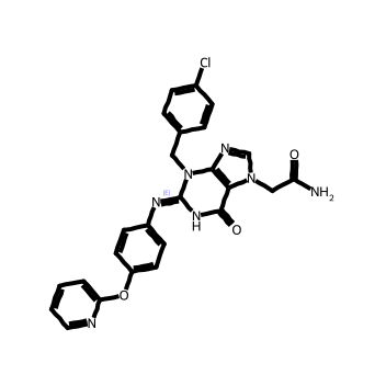 NC(=O)Cn1cnc2c1c(=O)[nH]/c(=N\c1ccc(Oc3ccccn3)cc1)n2Cc1ccc(Cl)cc1